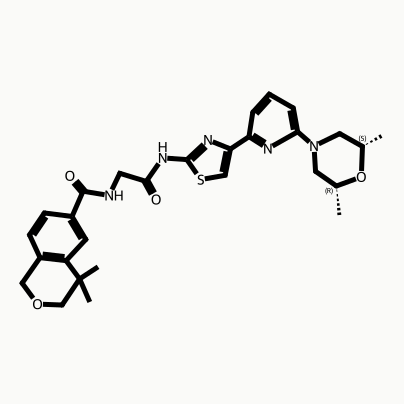 C[C@@H]1CN(c2cccc(-c3csc(NC(=O)CNC(=O)c4ccc5c(c4)C(C)(C)COC5)n3)n2)C[C@H](C)O1